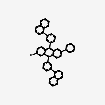 Brc1ccc2c(-c3cccc(-c4cccc5ccccc45)c3)c3cc(-c4ccccc4)ccc3c(-c3cccc(-c4cccc5ccccc45)c3)c2c1